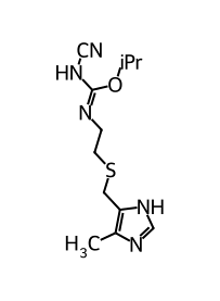 Cc1nc[nH]c1CSCC/N=C(/NC#N)OC(C)C